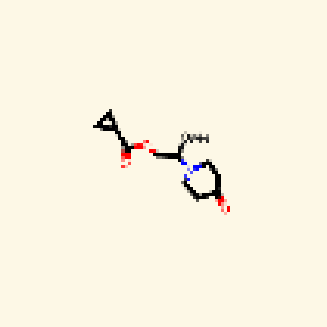 COC(COC(=O)C1CC1)N1CCC(=O)CC1